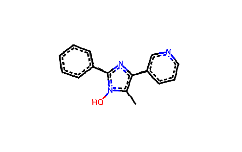 Cc1c(-c2cccnc2)nc(-c2ccccc2)n1O